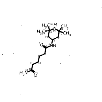 CC1(C)CC(NC(=O)CCCCC(N)=O)CC(C)(C)N1